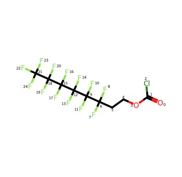 O=C(Cl)OCCC(F)(F)C(F)(F)C(F)(F)C(F)(F)C(F)(F)C(F)(F)F